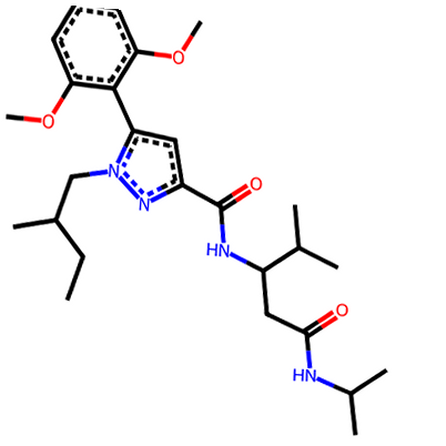 CCC(C)Cn1nc(C(=O)NC(CC(=O)NC(C)C)C(C)C)cc1-c1c(OC)cccc1OC